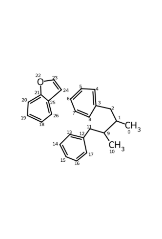 CC(Cc1ccccc1)C(C)Cc1ccccc1.c1ccc2occc2c1